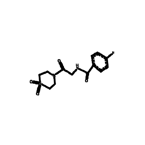 O=C(NCC(=O)N1CCS(=O)(=O)CC1)c1ccc(F)cc1